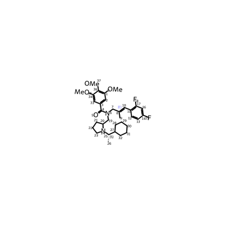 COc1cc(C(=O)N(C/C(C)=C/c2ccc(F)cc2F)CC2CCCN2[C@@H](C)C2CCCCC2)cc(OC)c1OC